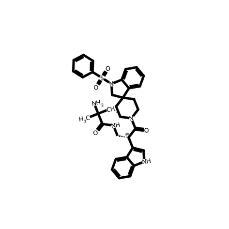 CC(C)(N)C(=O)NC[C@H](C(=O)N1CCC2(CC1)CN(S(=O)(=O)c1ccccc1)c1ccccc12)c1c[nH]c2ccccc12